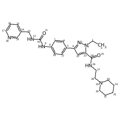 CCn1nc(-c2ccc(NC(=O)NCc3cccnc3)cc2)cc1C(=O)NCCN1CCCCC1